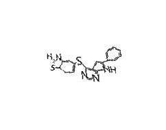 NC1=CC(Sc2ncnc3[nH]c(-c4ccccc4)cc23)=CCC1=S